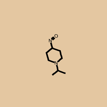 CC(C)N1CCC(N=O)CC1